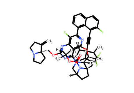 C=C1CCN2CCC[C@]12COc1nc2c3c(nc(-c4cccc5ccc(F)c(C#C[Si](C(C)C)(C(C)C)C(C)C)c45)c(F)c3n1)O[C@@H](C(F)F)[C@@H]1[C@@H]3CC[C@H](CN21)N3C(=O)OC(C)(C)C